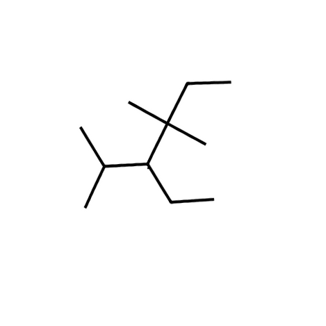 CC[C](C(C)C)C(C)(C)CC